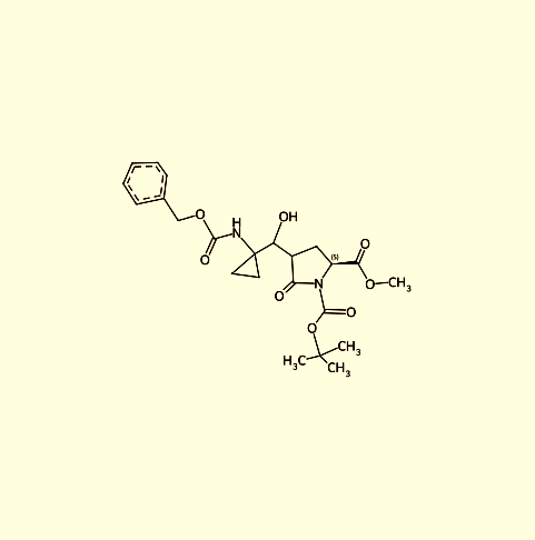 COC(=O)[C@@H]1CC(C(O)C2(NC(=O)OCc3ccccc3)CC2)C(=O)N1C(=O)OC(C)(C)C